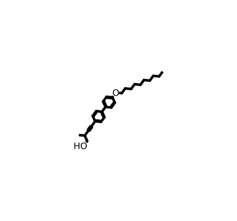 CCCCCCCCCCOc1ccc(-c2ccc(C#CC(C)CO)cc2)cc1